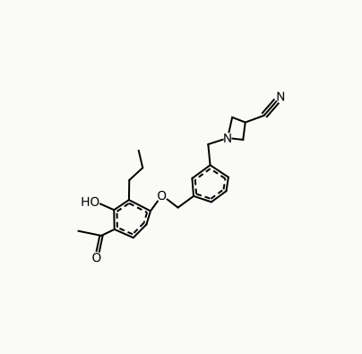 CCCc1c(OCc2cccc(CN3CC(C#N)C3)c2)ccc(C(C)=O)c1O